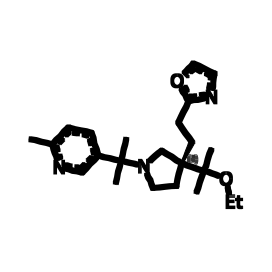 CCOC(C)(C)[C@]1(CCc2ncco2)CCN(C(C)(C)c2ccc(C)nc2)C1